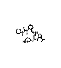 CC(C)c1cnn2c(NCc3ccccc3NC(=O)NC3CCCCC3)nc(OC3CCCNC3)nc12